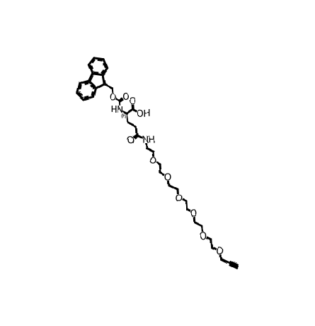 C#CCOCCOCCOCCOCCOCCOCCNC(=O)CC[C@@H](NC(=O)OCC1c2ccccc2-c2ccccc21)C(=O)O